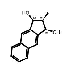 C[C@@H]1[C@H](O)c2cc3ccccc3cc2[C@@H]1O